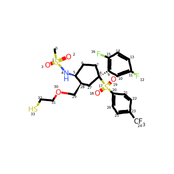 CS(=O)(=O)N[C@H]1CC[C@@](c2cc(F)ccc2F)(S(=O)(=O)c2ccc(C(F)(F)F)cc2)C[C@H]1COCCS